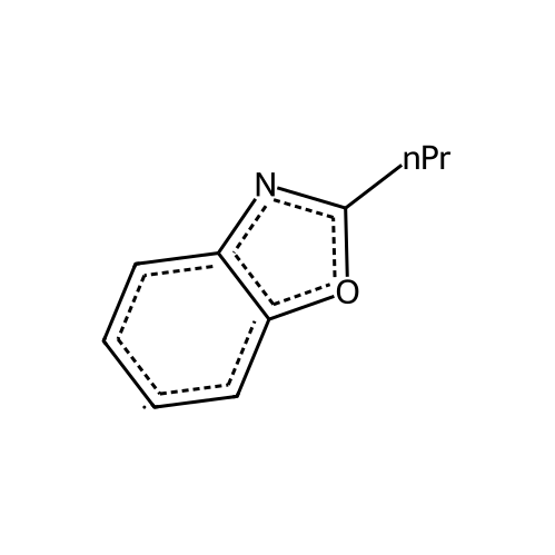 CCCc1nc2cc[c]cc2o1